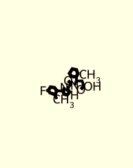 Cc1cc(F)ccc1-c1cccc(C(=O)NC(CC(=O)O)c2ccccc2C)n1